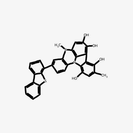 CB1c2cc(-c3cccc4c3sc3ccccc34)ccc2-n2c3c(O)cc(C)c(O)c3c3c(O)c(O)cc1c32